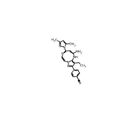 CCc1c(-c2ccc(C#N)cc2)nn2ccnc(-n3nc(C)cc3C)cc(N)[nH]c12